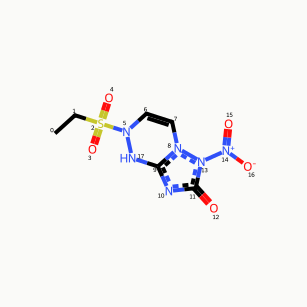 CCS(=O)(=O)N1C=Cn2c(nc(=O)n2[N+](=O)[O-])N1